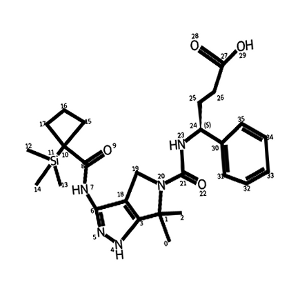 CC1(C)c2[nH]nc(NC(=O)C3([Si](C)(C)C)CCC3)c2CN1C(=O)N[C@@H](CCC(=O)O)c1ccccc1